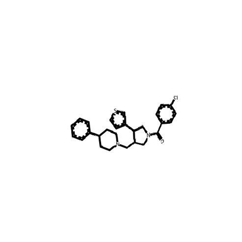 O=C(c1ccc(Cl)cc1)N1CC(CN2CCC(c3ccccc3)CC2)C(c2ccsc2)C1